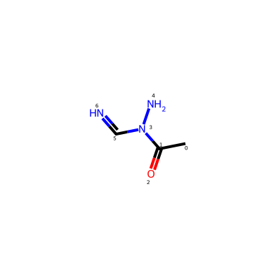 CC(=O)N(N)C=N